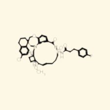 CO[C@H]1/C=C/CCC[S@@](=O)(NC(=O)CCc2ccc(F)cc2)=NC(=O)c2ccc3c(c2)N(C[C@@H]2CC[C@H]21)C[C@@]1(CCCc2cc(Cl)ccc21)CO3